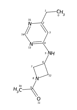 CCc1cc(NC2CN(C(C)=O)C2)ncn1